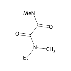 CCN(C)C(=O)C(=O)NC